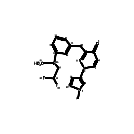 Cn1cc(-n2ccc(=O)c(Cc3cccc(N(CC(F)F)C(=O)O)c3)n2)cn1